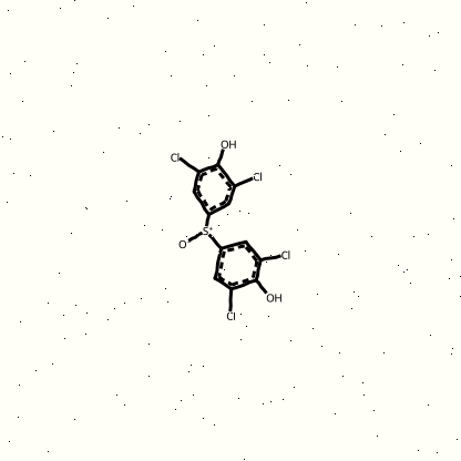 [O-][S+](c1cc(Cl)c(O)c(Cl)c1)c1cc(Cl)c(O)c(Cl)c1